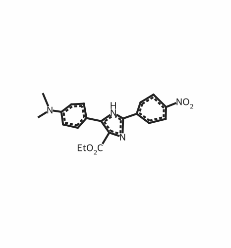 CCOC(=O)c1nc(-c2ccc([N+](=O)[O-])cc2)[nH]c1-c1ccc(N(C)C)cc1